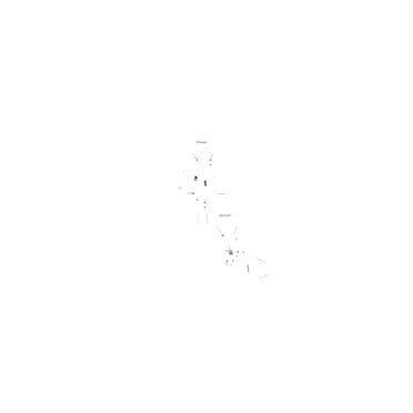 CC(C)(C)OC(=O)NC(C(=O)OCc1ccccc1)c1ccc(OS(=O)(=O)c2ccccc2)cc1